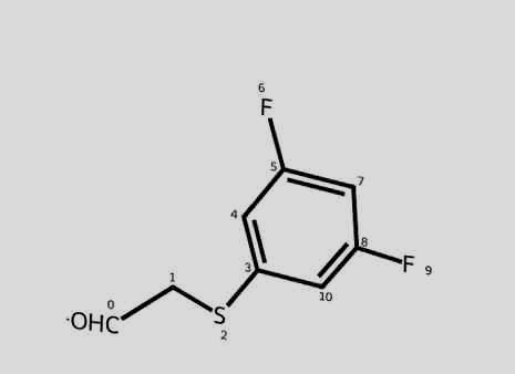 O=[C]CSc1cc(F)cc(F)c1